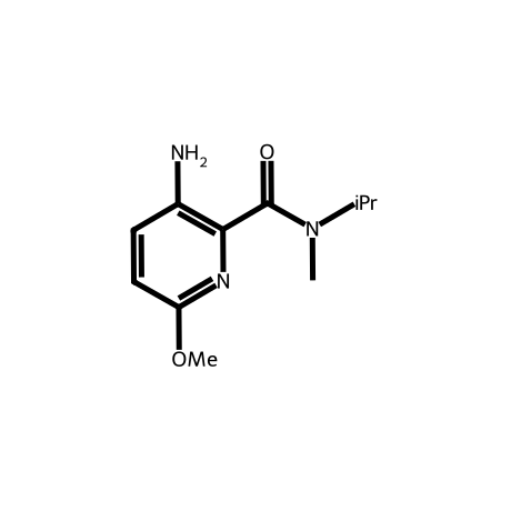 COc1ccc(N)c(C(=O)N(C)C(C)C)n1